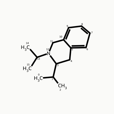 CC(C)C1Cc2ccccc2CN1C(C)C